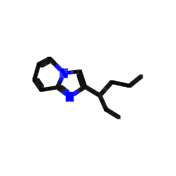 CCCC(CC)c1cn2ccccc2n1